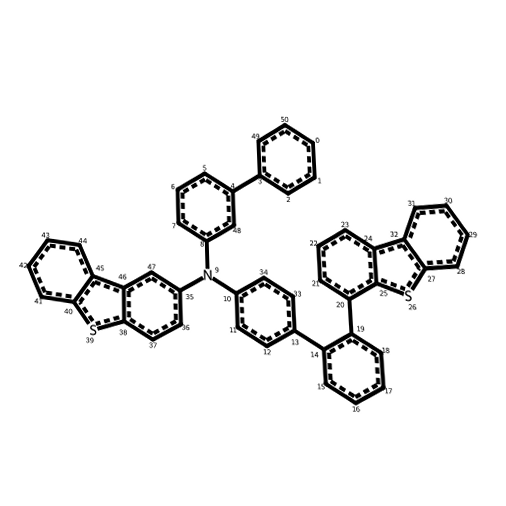 c1ccc(-c2cccc(N(c3ccc(-c4ccccc4-c4cccc5c4sc4ccccc45)cc3)c3ccc4sc5ccccc5c4c3)c2)cc1